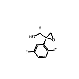 C[C@@H](O)[C@]1(c2cc(F)ccc2F)CO1